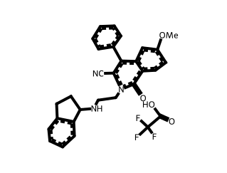 COc1ccc2c(=O)n(CCNC3CCc4ccccc43)c(C#N)c(-c3ccccc3)c2c1.O=C(O)C(F)(F)F